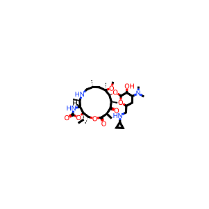 CC[C@]12OC(=O)N[C@@H]1[C@@H](C)NC[C@H](C)C[C@@](C)(OC)[C@H](OC1OC(CNC3CC3)CC(N(C)C)C1O)[C@@H](C)C(=O)C(C)C(=O)O[C@@H]2C